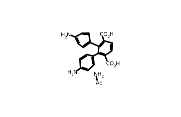 CC(N)=O.Nc1ccc(-c2c(C(=O)O)ccc(C(=O)O)c2-c2ccc(N)cc2)cc1